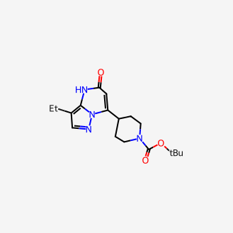 CCc1cnn2c(C3CCN(C(=O)OC(C)(C)C)CC3)cc(=O)[nH]c12